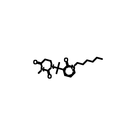 CCCCCCn1cccc(C(C)(C)N2CCC(=O)N(C)C2=O)c1=O